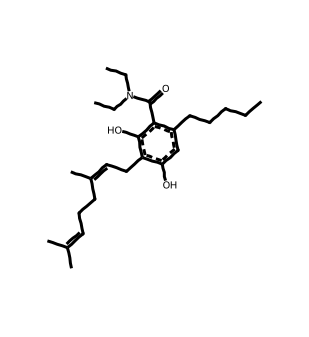 CCCCCc1cc(O)c(CC=C(C)CCC=C(C)C)c(O)c1C(=O)N(CC)CC